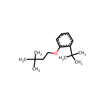 CC(C)(C)CCOc1ccccc1C(C)(C)C